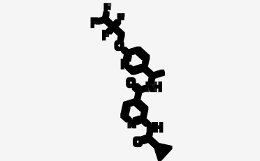 CC(NC(=O)c1ccnc(NC(=O)C2CC2)c1)c1ccc(OCC(F)(F)C(F)F)nc1